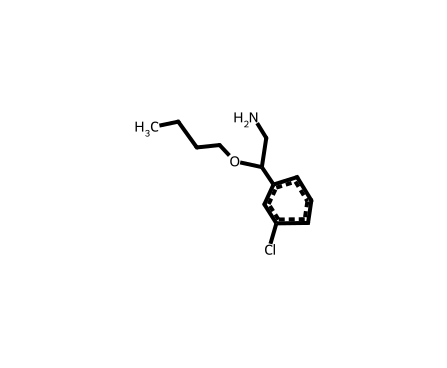 CCCCOC(CN)c1cccc(Cl)c1